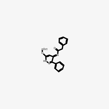 CCCCCCCCOc1cc(=NC(=O)Cc2ccccc2)c(-c2ccccc2)n[nH]1